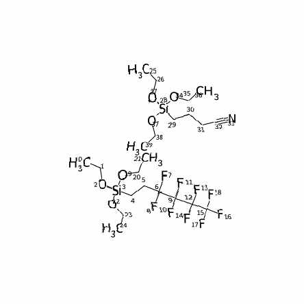 CCO[Si](CCC(F)(F)C(F)(F)C(F)(F)C(F)(F)F)(OCC)OCC.CCO[Si](CCCC#N)(OCC)OCC